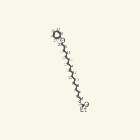 CCC(=O)SCCCCCCCCCCCCCCCCCCOc1ccccc1